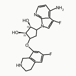 Nc1ccnc2c1c(F)cn2C1CC(Oc2cc(F)cc3c2CNCC3)[C@@H](O)[C@H]1O